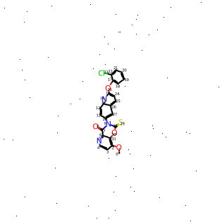 COc1ccnc2c(=O)n(-c3ccc4nc(Oc5ccccc5Cl)ccc4c3)c(=S)oc12